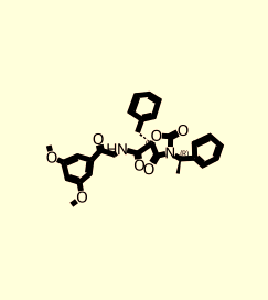 COc1cc(OC)cc(C(=O)CNC(=O)[C@@]2(Cc3ccccc3)OC(=O)N([C@H](C)c3ccccc3)C2=O)c1